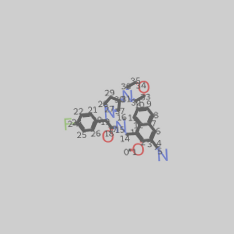 COc1c(C#N)cc2ccccc2c1CN(C)C(=O)C(c1ccc(F)cc1)N1CCC(N2CCOCC2)C1